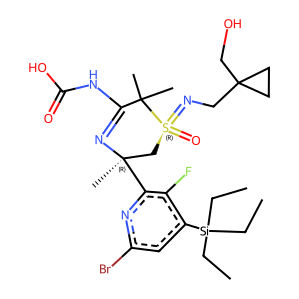 CC[Si](CC)(CC)c1cc(Br)nc([C@]2(C)C[S@](=O)(=NCC3(CO)CC3)C(C)(C)C(NC(=O)O)=N2)c1F